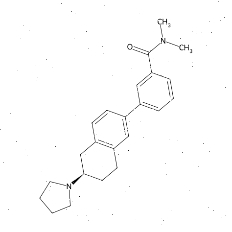 CN(C)C(=O)c1cccc(-c2ccc3c(c2)CC[C@@H](N2CCCC2)C3)c1